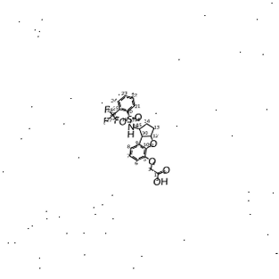 O=C(O)COc1cccc2c1OC1CCC(NS(=O)(=O)c3ccccc3C(F)(F)F)C21